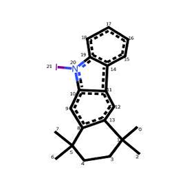 CC1(C)CCC(C)(C)c2cc3c(cc21)c1ccccc1n3I